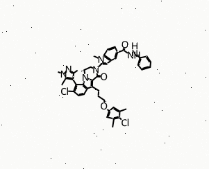 Cc1cc(OCCCc2c3n(c4c(-c5c(C)nn(C)c5C)c(Cl)ccc24)[C@H](C)CN(c2cc4cc(C(=O)NNc5ccccc5)ccc4n2C)C3=O)cc(C)c1Cl